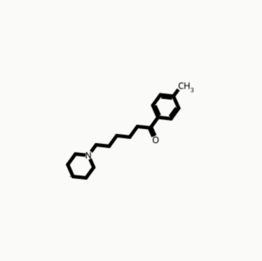 Cc1ccc(C(=O)CCCCCN2CC[CH]CC2)cc1